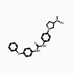 CC(=O)N(C)C1CCN(c2ccc(NC(=O)Nc3ccc(Sc4ccccc4)cc3)cc2)C1